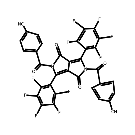 N#Cc1ccc(C(=O)N2C(=O)C3=C(c4c(F)c(F)c(F)c(F)c4F)N(C(=O)c4ccc(C#N)cc4)C(=O)C3=C2c2c(F)c(F)c(F)c(F)c2F)cc1